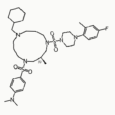 Cc1cc(F)ccc1N1CCN(S(=O)(=O)N2CCCN(CC3CCCCC3)CCCN(S(=O)(=O)c3ccc(N(C)C)cc3)C[C@H](C)C2)CC1